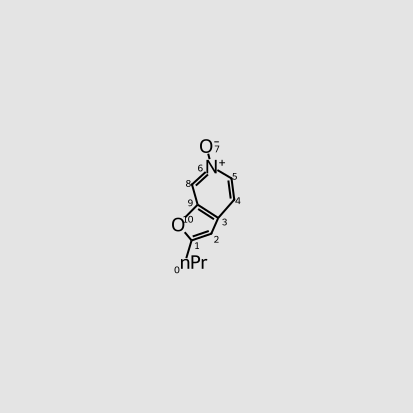 CCCc1cc2cc[n+]([O-])cc2o1